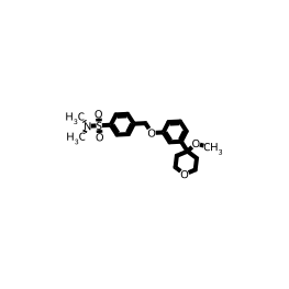 COC1(c2cccc(OCc3ccc(S(=O)(=O)N(C)C)cc3)c2)CCOCC1